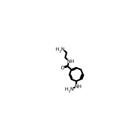 NCCNC(=O)C1=C/CC#CC(NN)/C=C\1